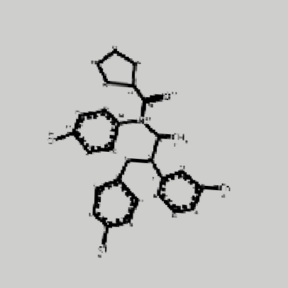 CC(C(Cc1ccc(Cl)cc1)c1cccc(C#N)c1)N(C(=O)C1CCCC1)c1ccc(Cl)cc1